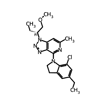 CCc1cc(Cl)c2c(c1)CCN2c1nc(C)cc2c1nnn2[C@H](CC)COC